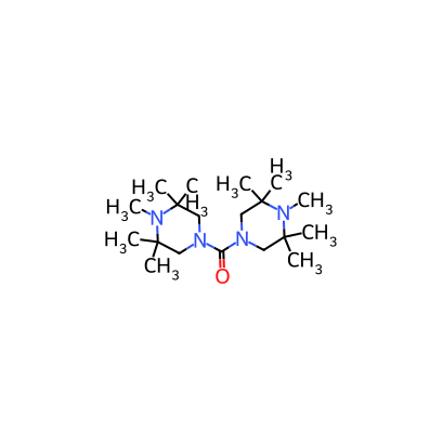 CN1C(C)(C)CN(C(=O)N2CC(C)(C)N(C)C(C)(C)C2)CC1(C)C